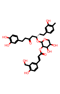 Cc1ccc(CC[C@@H](CC(=O)CCc2ccc(O)c(O)c2)OC2OCC(O)C(O)C2OC(=O)/C=C/c2ccc(O)c(CO)c2)cc1O